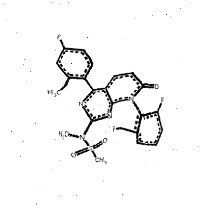 Cc1cc(F)ccc1-c1nc(N(C)S(C)(=O)=O)nc2c1ccc(=O)n2-c1c(F)cccc1F